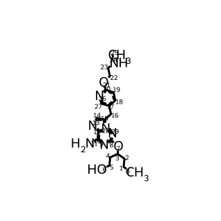 CCCC(CCO)Oc1nc(N)c2ncc(Cc3ccc(OCCNC)nc3)n2n1